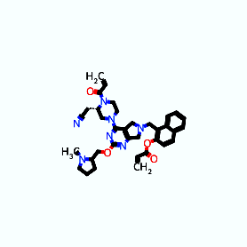 C=CC(=O)Oc1ccc2ccccc2c1CN1Cc2nc(OCC3CCCN3C)nc(N3CCN(C(=O)C=C)[C@@H](CC#N)C3)c2C1